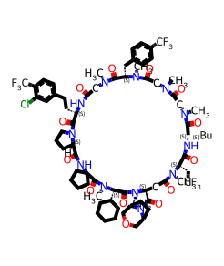 CC[C@H](C)[C@@H]1NC(=O)[C@H](CC(F)(F)F)N(C)C(=O)C[C@@H](C(=O)N2C3CCC2COC3)N(C)C(=O)[C@H](C2CCCCC2)N(C)C(=O)C2(CCCC2)NC(=O)[C@@H]2CCCN2C(=O)[C@H](CCc2ccc(C(F)(F)F)c(Cl)c2)NC(=O)CN(C)C(=O)[C@H](Cc2ccc(C(F)(F)F)cc2)N(C)C(=O)CN(C)C(=O)CN(C)C1=O